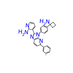 Nc1ncccc1-c1nc2ccc(-c3c[c]ccc3)nc2n1-c1ccc(C2(N)CCC2)cc1